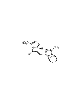 Cn1nc(/C=C2/C(=O)N3C(C(=O)O)=CS[C@H]23)c2c1C1CCC2C1